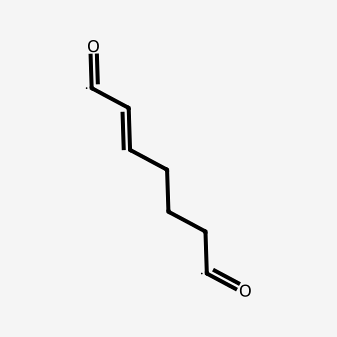 O=[C]/C=C/CCC[C]=O